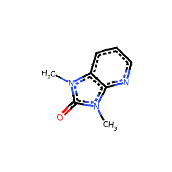 Cn1c(=O)n(C)c2nc[c]cc21